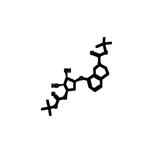 CC(C)(C)OC(=O)O[C@@H]1C[C@H](Oc2cccc3c2CN(C(=O)OC(C)(C)C)CC3)[C@@H](O)[C@H]1O